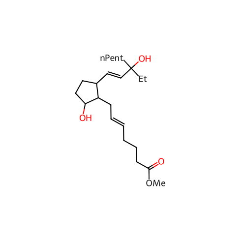 CCCCCC(O)(C=CC1CCC(O)C1CC=CCCCC(=O)OC)CC